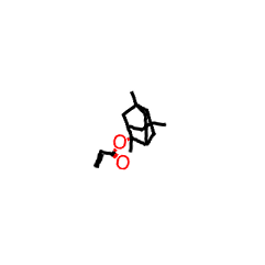 C=CC(=O)OC1(C)C2CC3(C)CC1CC(C)(C2)C3